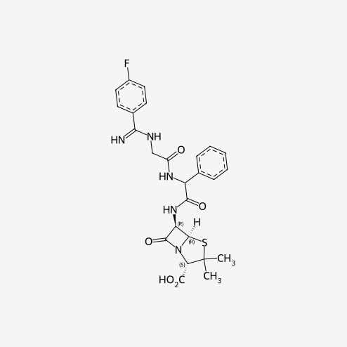 CC1(C)S[C@@H]2[C@H](NC(=O)C(NC(=O)CNC(=N)c3ccc(F)cc3)c3ccccc3)C(=O)N2[C@H]1C(=O)O